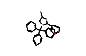 ClC1CN(C(c2ccccc2)(c2ccccc2)c2ccccc2)C(c2ccccc2)S1